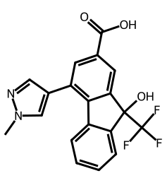 Cn1cc(-c2cc(C(=O)O)cc3c2-c2ccccc2C3(O)C(F)(F)F)cn1